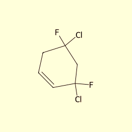 FC1(Cl)C=CCC(F)(Cl)C1